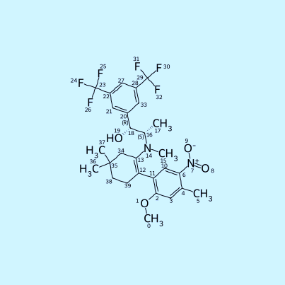 COc1cc(C)c([N+](=O)[O-])cc1C1=C(N(C)[C@@H](C)[C@H](O)c2cc(C(F)(F)F)cc(C(F)(F)F)c2)CC(C)(C)CC1